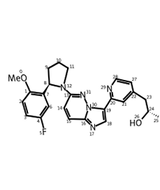 COc1ccc(F)cc1[C@H]1CCCN1c1ccc2ncc(-c3cc(C[C@H](C)O)ccn3)n2n1